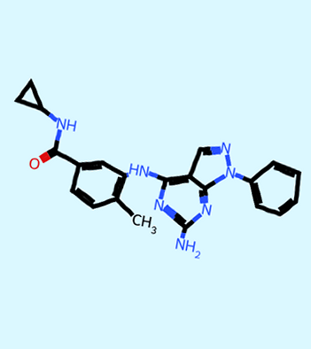 Cc1ccc(C(=O)NC2CC2)cc1Nc1nc(N)nc2c1cnn2-c1ccccc1